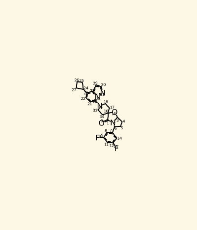 O=C1N2C(CCC2c2cc(F)cc(F)c2)OC12CCN(c1ccc(C3CCC3)c3ccnn13)CC2